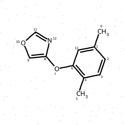 Cc1ccc(C)c(Oc2co[c]n2)c1